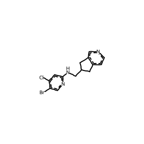 Clc1cc(NCC2Cc3ccncc3C2)ncc1Br